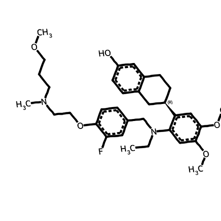 CCN(Cc1ccc(OCCN(C)CCCOC)c(F)c1)c1cc(OC)c(OC)cc1[C@@H]1CCc2cc(O)ccc2C1